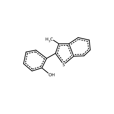 Cc1c(-c2ccccc2O)sc2ccccc12